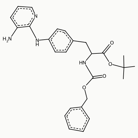 CC(C)(C)OC(=O)C(Cc1ccc(Nc2ncccc2N)cc1)NC(=O)OCc1ccccc1